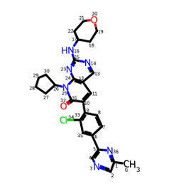 Cc1cncc(-c2ccc(-c3cc4cnc(NC5CCOCC5)nc4n(C4CCCC4)c3=O)c(Cl)c2)n1